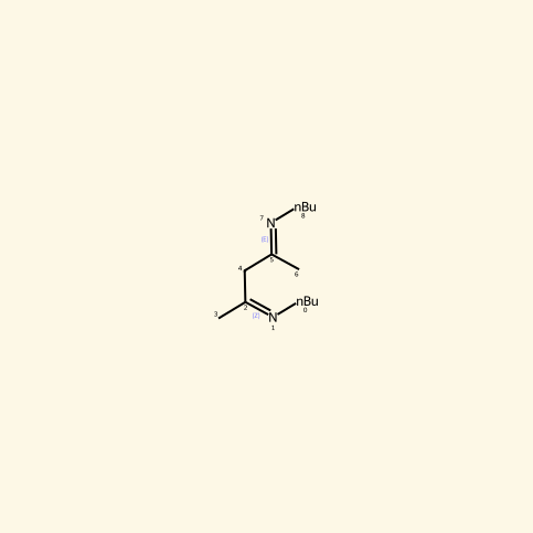 CCCC/N=C(/C)C/C(C)=N/CCCC